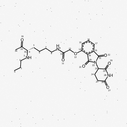 CCCN[C@@H](CCCCNC(=O)COc1cccc2c1C(=O)N(C1CCC(=O)NC1=O)C2=O)C(C)=O